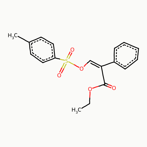 CCOC(=O)C(=COS(=O)(=O)c1ccc(C)cc1)c1ccccc1